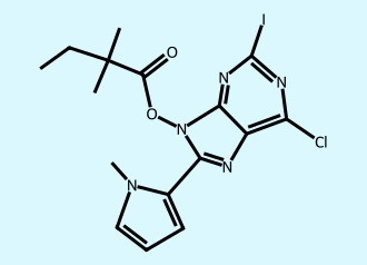 CCC(C)(C)C(=O)On1c(-c2cccn2C)nc2c(Cl)nc(I)nc21